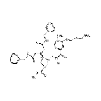 COCCCOc1cc(C(=O)N(C[C@@H]2CN(C(=O)OC(C)(C)C)C[C@H]2N(CC(=O)NCc2ccccc2)CC(=O)NCc2ccccc2)C(C)C)ccc1OC